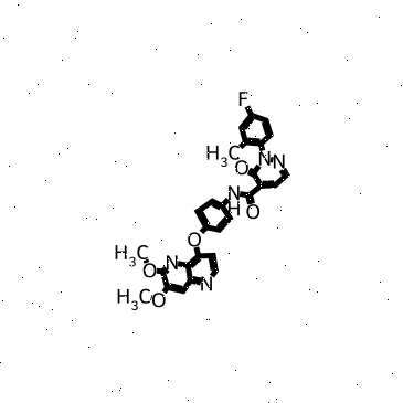 COc1cc2nccc(Oc3ccc(NC(=O)c4ccnn(-c5ccc(F)cc5C)c4=O)cc3)c2nc1OC